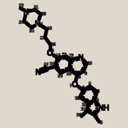 Cc1[nH]c2ccc(Oc3ccnc4cc(OCCCN5CCN(C)CC5)c(C#N)cc34)cc2c1C